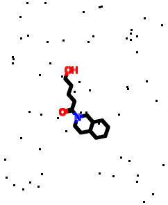 O=C(CCCCO)N1CCC2CCCCC2C1